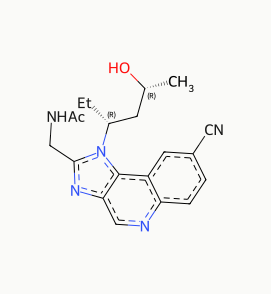 CC[C@H](C[C@@H](C)O)n1c(CNC(C)=O)nc2cnc3ccc(C#N)cc3c21